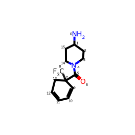 NC1CCN(C(=O)C2(C(F)(F)F)C=CC=CC2)CC1